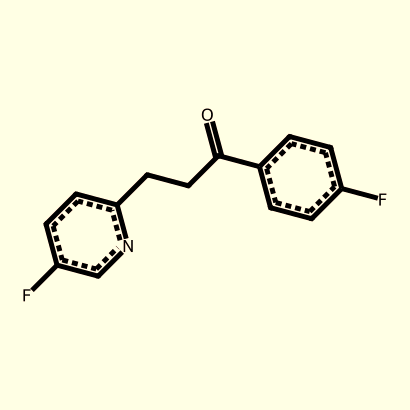 O=C(CCc1ccc(F)cn1)c1ccc(F)cc1